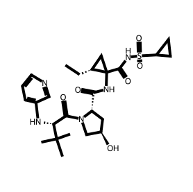 CC[C@@H]1CC1(NC(=O)[C@@H]1C[C@@H](O)CN1C(=O)[C@@H](Nc1cccnc1)C(C)(C)C)C(=O)NS(=O)(=O)C1CC1